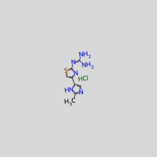 Cc1ncc(-c2csc(N=C(N)N)n2)[nH]1.Cl